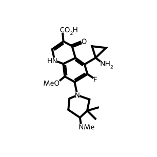 CNC1CCN(c2c(F)c(C3(N)CC3)c3c(=O)c(C(=O)O)c[nH]c3c2OC)CC1(C)C